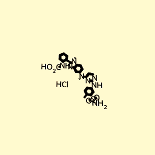 Cc1ccc(Nc2nccc(N(C)c3ccc4c(c3)nc(-c3ccccc3NC(=O)O)n4C)n2)cc1S(N)(=O)=O.Cl